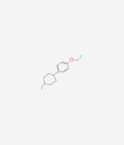 FCOc1ccc(C2CCC(I)CC2)cc1